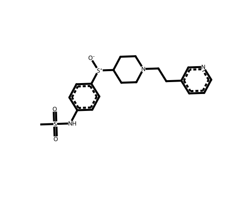 CS(=O)(=O)Nc1ccc([S+]([O-])C2CCN(CCc3cccnc3)CC2)cc1